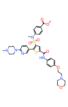 COC(=O)c1ccc(N(C)S(=O)(=O)c2cc(C(=O)Nc3ccc(OCCN4CCOCC4)cc3)sc2-c2ccc(N3CCN(C)CC3)nc2)cc1